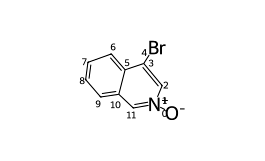 [O-][n+]1cc(Br)c2ccccc2c1